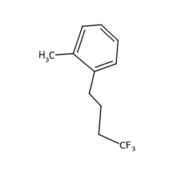 Cc1ccccc1CCCC(F)(F)F